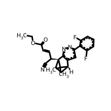 CCOC(=O)/C=C/C(C#N)[C@@]12CC[C@@H](c3cc(-c4c(F)cccc4F)nnc31)C2(C)C